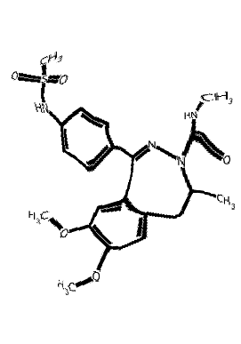 CNC(=O)N1N=C(c2ccc(NS(C)(=O)=O)cc2)c2cc(OC)c(OC)cc2CC1C